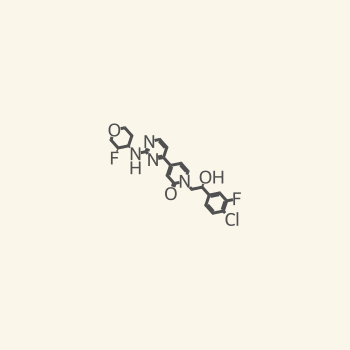 O=c1cc(-c2ccnc(N[C@H]3CCOC[C@H]3F)n2)ccn1C[C@@H](O)c1ccc(Cl)c(F)c1